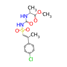 COC(=O)C(C)NC(=O)NS(=O)(=O)C=C(C)c1ccc(Cl)cc1